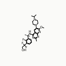 COc1nc2nc(C)nc(N[C@H](C)c3cccc(C(F)(F)CO)c3F)c2cc1N1CCN(C(C)C)CC1